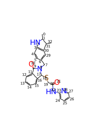 CC1Nc2ccc(CN3C(=O)c4ccccc4C3SCC(=O)Nc3ccccn3)cc2C1C